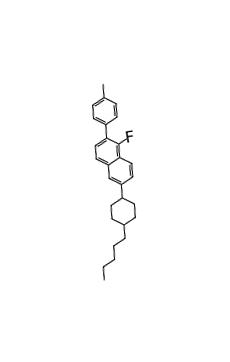 CCCCCC1CCC(c2ccc3c(F)c(-c4ccc(C)cc4)ccc3c2)CC1